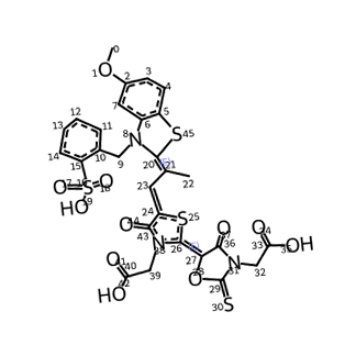 COc1ccc2c(c1)N(Cc1ccccc1S(=O)(=O)O)/C(=C(/C)C=c1s/c(=C3/OC(=S)N(CC(=O)O)C3=O)n(CC(=O)O)c1=O)S2